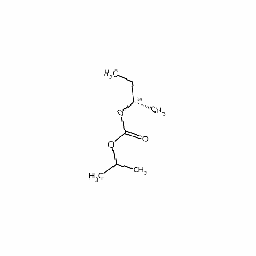 CC[C@H](C)OC(=O)OC(C)C